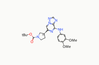 COc1ccc(Nc2nc([C@H]3CCN(C(=O)OC(C)(C)C)C3)cn3ncnc23)cc1OC